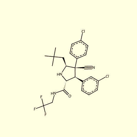 CC(C)(C)C[C@@H]1N[C@@H](C(=O)NCC(F)(F)F)[C@H](c2cccc(Cl)c2)[C@@]1(C#N)c1ccc(Cl)cc1